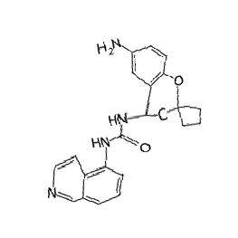 Nc1ccc2c(c1)C(NC(=O)Nc1cccc3cnccc13)CC1(CCC1)O2